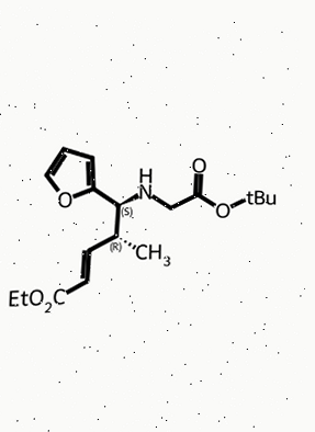 CCOC(=O)C=C[C@@H](C)[C@H](NCC(=O)OC(C)(C)C)c1ccco1